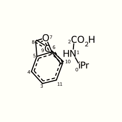 CC(C)NC(=O)O.c1cc2c3oc-2cc3c1